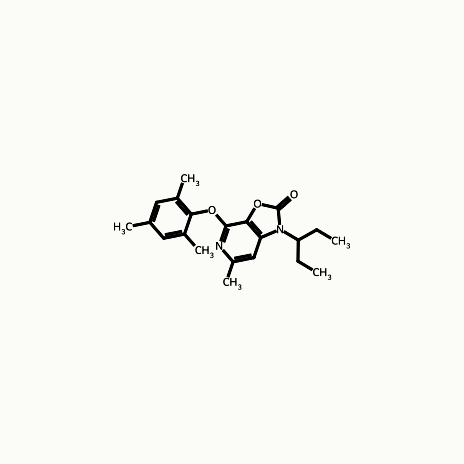 CCC(CC)n1c(=O)oc2c(Oc3c(C)cc(C)cc3C)nc(C)cc21